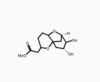 COC(=O)CC1CCC2O[C@@H]3CC2(C[C@@H](O)C3O)O1